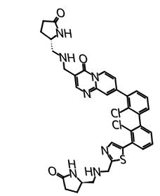 O=C1CC[C@H](CNCc2ncc(-c3cccc(-c4cccc(-c5ccn6c(=O)c(CNC[C@@H]7CCC(=O)N7)cnc6c5)c4Cl)c3Cl)s2)N1